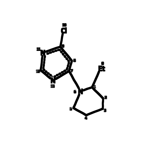 CCC1CCCCN1c1cc(Cl)ncn1